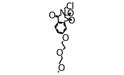 COCCOCCOc1ccc2c(c1)S(=O)(=O)N(CCl)C2=O